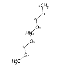 CCCONOCSC